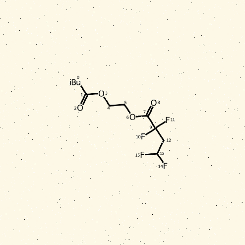 CCC(C)C(=O)OCCOC(=O)C(F)(F)CC(F)F